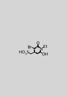 CCn1c(O)cc(CS(=O)(=O)O)c(Br)c1=O